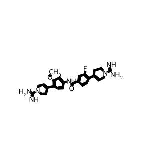 COc1cc(NC(=O)c2ccc(C3=CCN(C(=N)N)CC3)c(F)c2)ccc1C1=CCN(C(=N)N)CC1